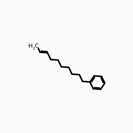 [CH2]/C=C/CCCCCCCc1ccccc1